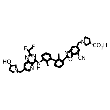 Cc1c(Nc2nc(C(F)F)nc3cc(CN4CC[C@@H](O)C4)cnc23)cccc1-c1cccc(-c2nc3cc(CN4CC[C@H](C(=O)O)C4)cc(C#N)c3o2)c1C